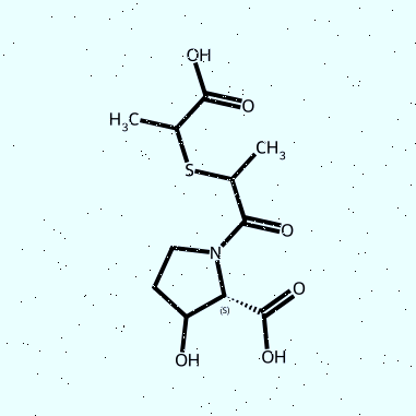 CC(SC(C)C(=O)N1CCC(O)[C@H]1C(=O)O)C(=O)O